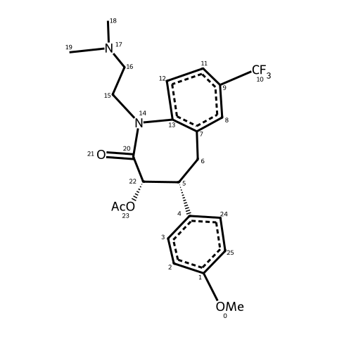 COc1ccc([C@H]2Cc3cc(C(F)(F)F)ccc3N(CCN(C)C)C(=O)[C@H]2OC(C)=O)cc1